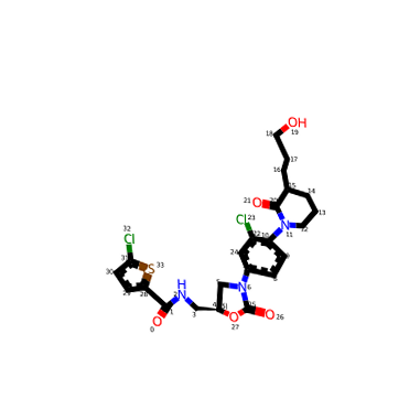 O=C(NC[C@H]1CN(c2ccc(N3CCCC(CCCO)C3=O)c(Cl)c2)C(=O)O1)c1ccc(Cl)s1